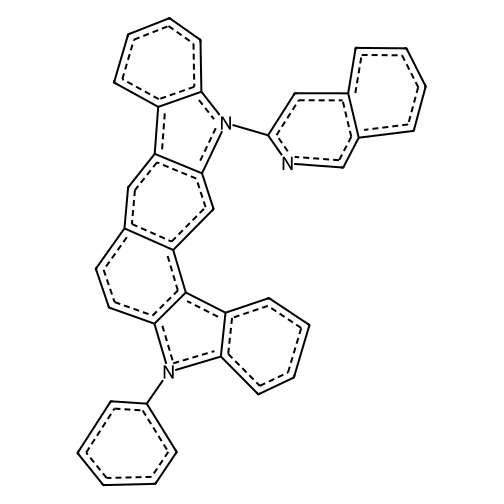 c1ccc(-n2c3ccccc3c3c4cc5c(cc4ccc32)c2ccccc2n5-c2cc3ccccc3cn2)cc1